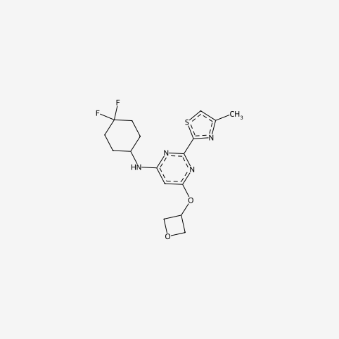 Cc1csc(-c2nc(NC3CCC(F)(F)CC3)cc(OC3COC3)n2)n1